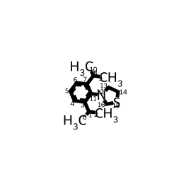 CC(C)c1cccc(C(C)C)c1N1CCSC1